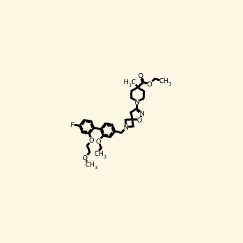 CCOC(=O)C1(C)CCN(C2=NOC3(C2)CN(Cc2ccc(-c4ccc(F)cc4OCCOC)c(OCC)c2)C3)CC1